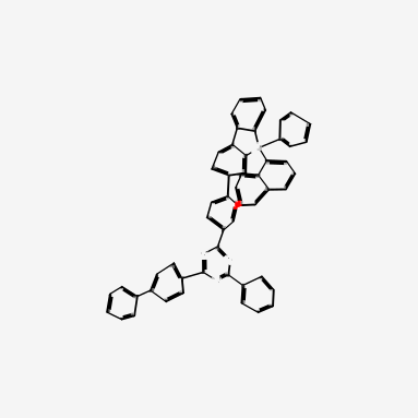 c1ccc(-c2ccc(-c3nc(-c4ccccc4)nc(-c4ccc(-c5ccc6c(c5)[Si](c5ccccc5)(c5cccc7ccccc57)c5ccccc5-6)cc4)n3)cc2)cc1